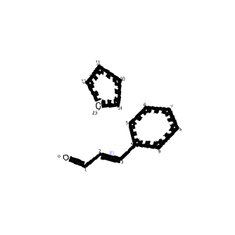 O=C/C=C/c1ccccc1.c1ccoc1